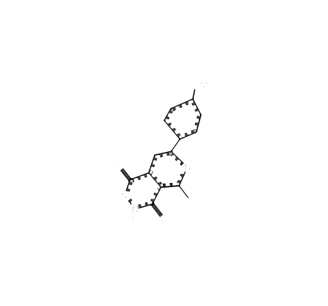 COc1ccc(-c2cc3c(=O)[nH][nH]c(=O)c3c(C)n2)cc1